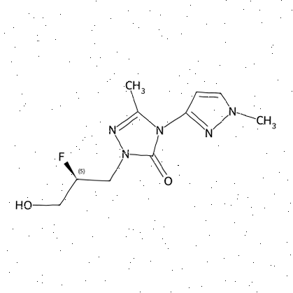 Cc1nn(C[C@H](F)CO)c(=O)n1-c1ccn(C)n1